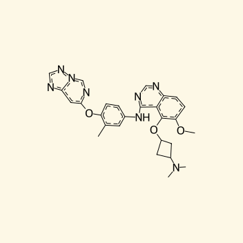 COc1ccc2ncnc(Nc3ccc(Oc4cc5ncnn5cn4)c(C)c3)c2c1OC1CC(N(C)C)C1